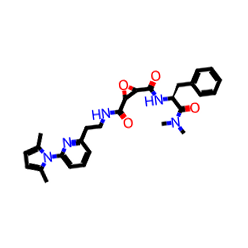 Cc1ccc(C)n1-c1cccc(CCNC(=O)C2OC2C(=O)N[C@@H](Cc2ccccc2)C(=O)N(C)C)n1